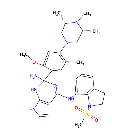 COc1cc(N2C[C@@H](C)N(C)[C@@H](C)C2)c(C)cc1C1(N)N=C(Nc2cccc3c2N(S(C)(=O)=O)CC3)c2cc[nH]c2N1